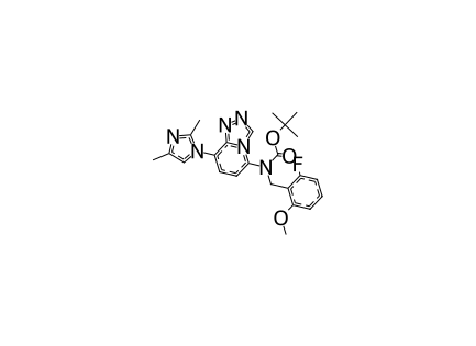 COc1cccc(F)c1CN(C(=O)OC(C)(C)C)c1ccc(-n2cc(C)nc2C)c2nncn12